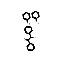 CC(=O)c1ccccc1.CC(=O)c1ccccc1.O=C(c1ccccc1)C(O)c1ccccc1